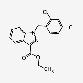 CCOC(=O)c1nn(Cc2ccc(Cl)cc2Cl)c2ccccc12